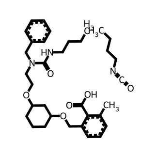 CCCCN=C=O.CCCCNC(=O)N(CCOC1CCCC(OCc2cccc(C)c2C(=O)O)C1)Cc1ccccc1